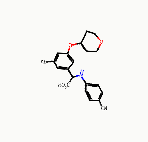 CCc1cc(OC2CCOCC2)cc(C(Nc2ccc(C#N)cc2)C(=O)O)c1